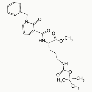 COC(=O)[C@H](CCCNC(=O)OC(C)(C)C)NC(=O)c1cccn(Cc2ccccc2)c1=O